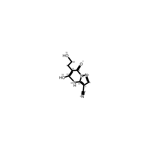 N#Cc1cnn2c(=O)c(CCO)c(O)[nH]c12